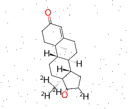 [2H]C1C[C@H]2[C@@H]3CCC4=CC(=O)CC[C@]4(C)[C@H]3CC[C@]2(C([2H])([2H])[2H])C1=O